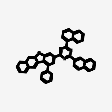 c1ccc(-c2cc(-c3nc(-c4ccc5ccccc5c4)nc(-c4cccc5ccccc45)n3)cc3oc4cc5ccccc5cc4c23)cc1